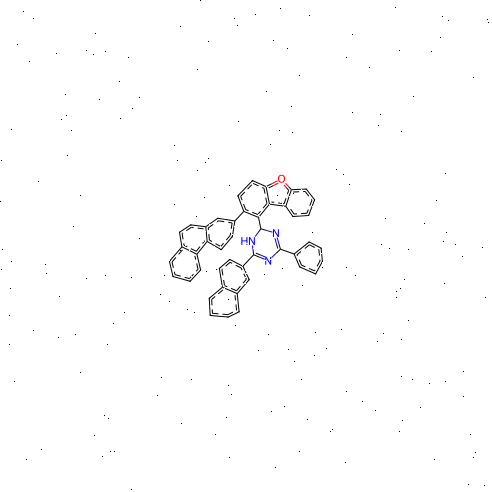 c1ccc(C2=NC(c3c(-c4ccc5c(ccc6ccccc65)c4)ccc4oc5ccccc5c34)NC(c3ccc4ccccc4c3)=N2)cc1